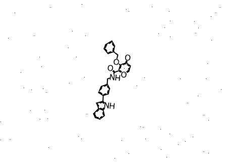 O=C(NCc1ccc(-c2cc3ccccc3[nH]2)cc1)c1occc(=O)c1OCc1ccccc1